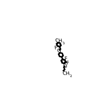 C=CCCOc1ccc(C2CCC(OCc3ccc(C)cc3F)CC2)c(F)c1F